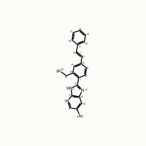 CC(=O)c1cnc2[nH]c(-c3ccc(/C=C/c4ccccc4)cc3CC(C)C)nc2c1